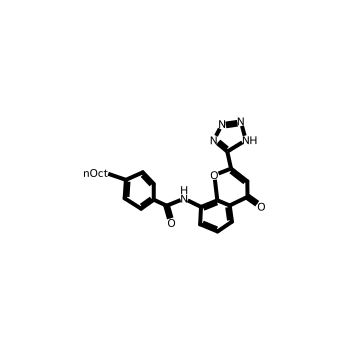 CCCCCCCCc1ccc(C(=O)Nc2cccc3c(=O)cc(-c4nnn[nH]4)oc23)cc1